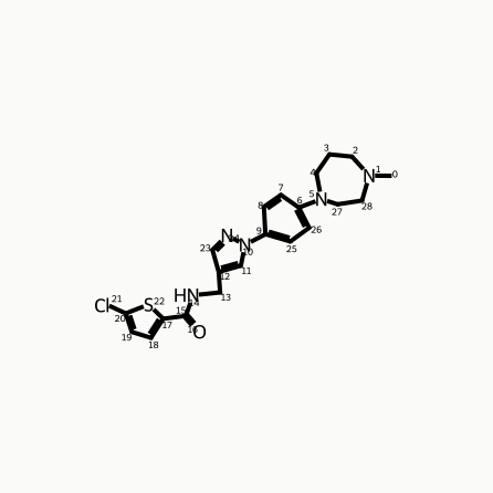 CN1CCCN(c2ccc(-n3cc(CNC(=O)c4ccc(Cl)s4)cn3)cc2)CC1